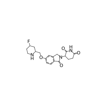 O=C1CCC(N2Cc3cc(OCC4CC(F)CCN4)ccc3C2=O)C(=O)N1